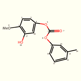 COc1ccc(OC(=O)Oc2cccc(C)c2)cc1O